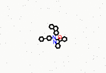 c1ccc(-c2ccc(N(c3ccc4ccc5ccccc5c4c3)c3nc4ccccc4c4c3oc3ccccc34)cc2)cc1